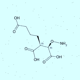 NO[C@@H](C(=O)O)[C@H](CCCC(=O)O)C(=O)O